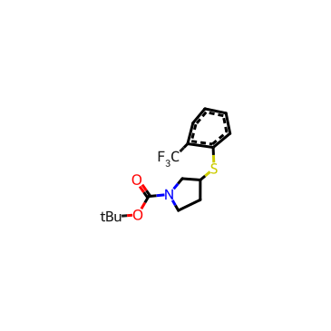 CC(C)(C)OC(=O)N1CCC(Sc2ccccc2C(F)(F)F)C1